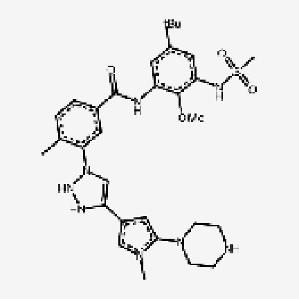 COc1c(NC(=O)c2ccc(C)c(N3C=C(c4cc(N5CCNCC5)n(C)c4)NN3)c2)cc(C(C)(C)C)cc1NS(C)(=O)=O